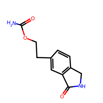 NC(=O)OCCc1ccc2c(c1)C(=O)NC2